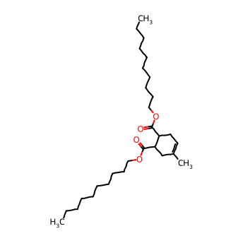 CCCCCCCCCCOC(=O)C1CC=C(C)CC1C(=O)OCCCCCCCCCC